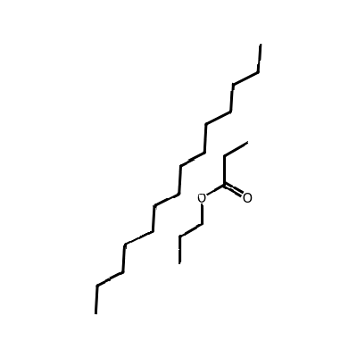 CCCCCCCCCCCCCC.CCCOC(=O)CC